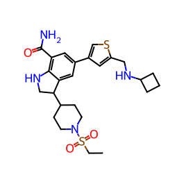 CCS(=O)(=O)N1CCC(C2CNc3c(C(N)=O)cc(-c4csc(CNC5CCC5)c4)cc32)CC1